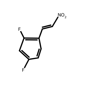 O=[N+]([O-])C=Cc1ccc(F)cc1F